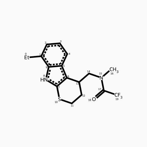 CCc1cccc2c3c([nH]c12)SCCC3CN(C)C(=O)C(F)(F)F